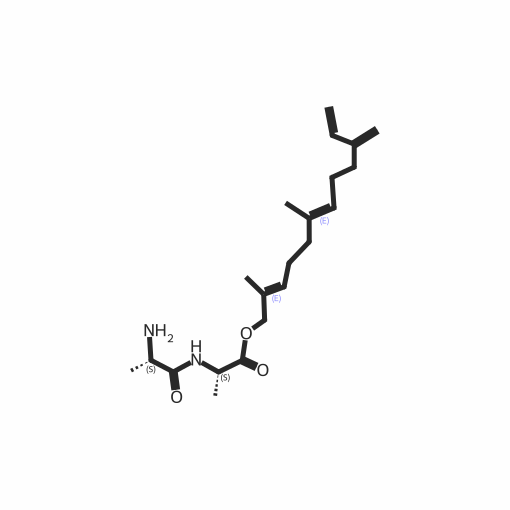 C=CC(=C)CC/C=C(\C)CC/C=C(\C)COC(=O)[C@H](C)NC(=O)[C@H](C)N